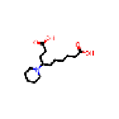 O=C(O)CCCCCC(CCC(=O)O)N1CCCCC1